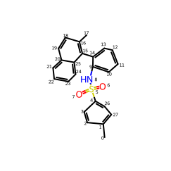 Cc1ccc(S(=O)(=O)Nc2ccccc2-c2c(C)ccc3ccccc23)cc1